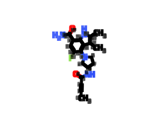 CC#CC(=O)N[C@H]1CCN(c2c(F)cc(C(N)=O)c3[nH]c(C)c(C)c23)C1